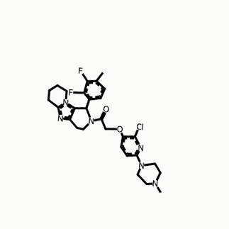 Cc1ccc(C2c3c(nc4n3CCCC4)CCN2C(=O)COc2ccc(N3CCN(C)CC3)nc2Cl)c(F)c1F